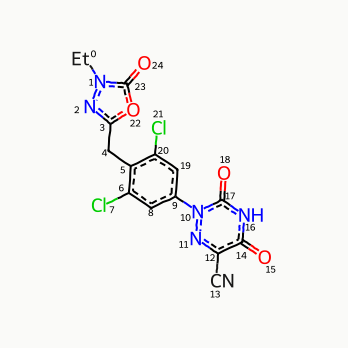 CCn1nc(Cc2c(Cl)cc(-n3nc(C#N)c(=O)[nH]c3=O)cc2Cl)oc1=O